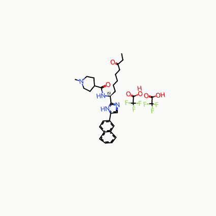 CCC(=O)CCCCC[C@H](NC(=O)C1CCN(C)CC1)c1ncc(-c2ccc3ccccc3c2)[nH]1.O=C(O)C(F)(F)F.O=C(O)C(F)(F)F